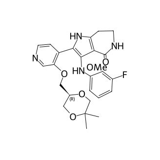 COc1c(F)cccc1Nc1c(-c2ccncc2OC[C@@H]2COC(C)(C)CO2)[nH]c2c1C(=O)NCC2